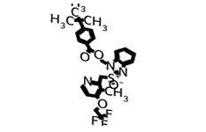 Cc1c(OCC(F)(F)F)ccnc1C[S+]([O-])c1nc2ccccc2n1COC(=O)c1ccc(C(C)(C)C)cc1